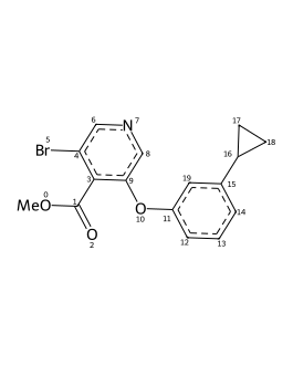 COC(=O)c1c(Br)cncc1Oc1cccc(C2CC2)c1